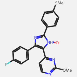 COc1nccc(C2=C(c3ccc(F)cc3)N=C(c3ccc(SC)cc3)[NH+]2[O-])n1